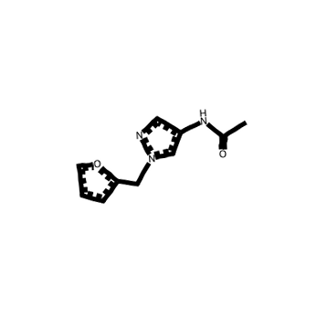 CC(=O)Nc1cnn(Cc2ccco2)c1